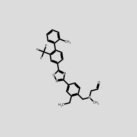 CCc1cc(-c2noc(-c3ccc(-c4ccccc4C)c(C(F)(F)F)c3)n2)ccc1CN(C)CC=O